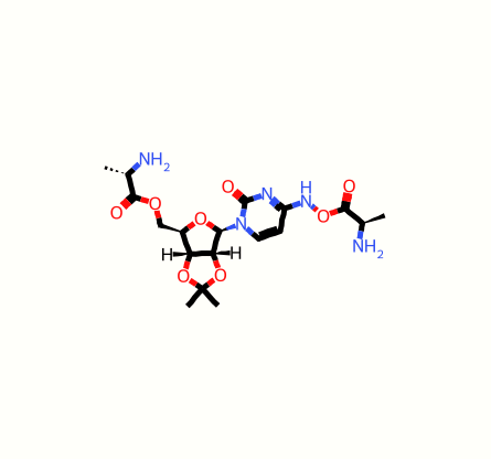 C[C@H](N)C(=O)OC[C@H]1O[C@@H](n2ccc(NOC(=O)[C@@H](C)N)nc2=O)[C@@H]2OC(C)(C)O[C@@H]21